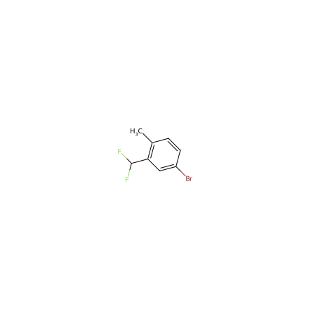 Cc1ccc(Br)cc1C(F)F